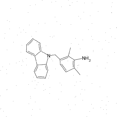 Cc1ccc(Cn2c3ccccc3c3ccccc32)c(C)c1N